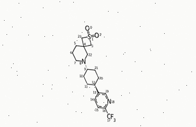 O=S1(=O)CC2(CCCN([C@H]3CC[C@H](c4ccc(C(F)(F)F)nc4)CC3)C2)C1